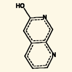 Oc1cc2cccnc2cn1